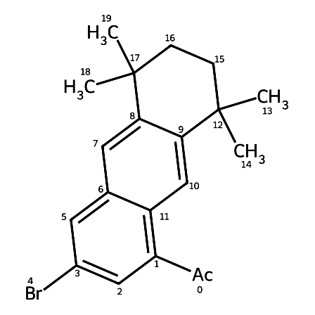 CC(=O)c1cc(Br)cc2cc3c(cc12)C(C)(C)CCC3(C)C